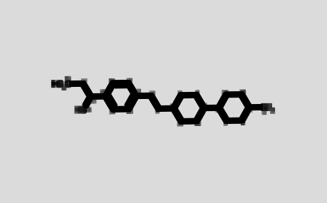 BC1CCC(C2CCC(CCc3ccc(C(O)CC(=O)O)cc3)CC2)CC1